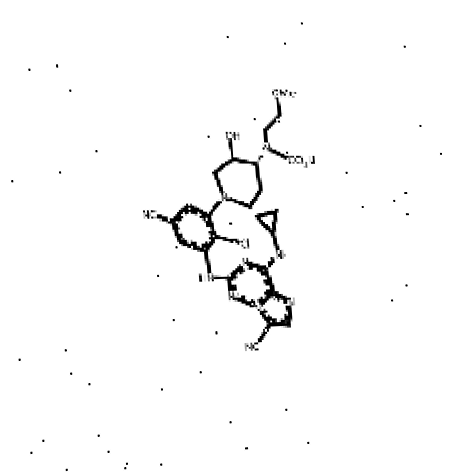 COCCN(C(=O)O)[C@@H]1CCN(c2cc(C#N)cc(Nc3nc(NC4CC4)c4ncc(C#N)n4n3)c2Cl)C[C@H]1O